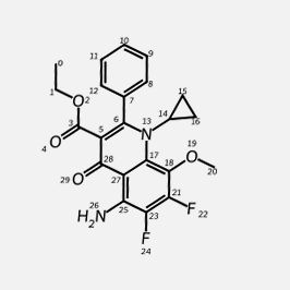 CCOC(=O)c1c(-c2ccccc2)n(C2CC2)c2c(OC)c(F)c(F)c(N)c2c1=O